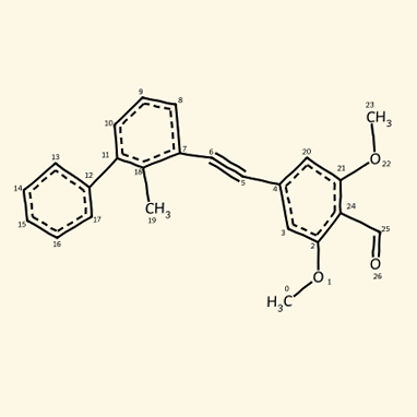 COc1cc(C#Cc2cccc(-c3ccccc3)c2C)cc(OC)c1C=O